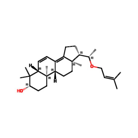 CC(C)=CCO[C@@H](C)[C@H]1CCC2=C3C=C[C@H]4C(C)(C)[C@@H](O)CC[C@]4(C)[C@H]3CC[C@@]21C